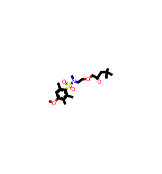 COc1cc(C)c(S(=O)(=O)N(C)CCOCC(=O)CC(C)(C)C)c(C)c1C